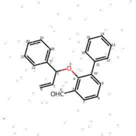 C=CC(Oc1c(C=O)cccc1-c1ccccc1)c1ccccc1